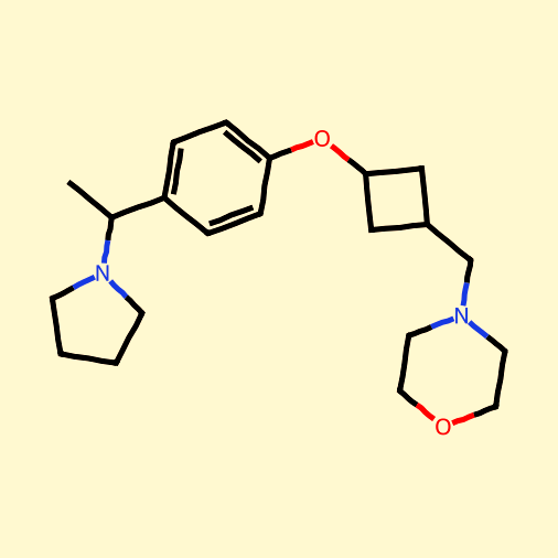 CC(c1ccc(OC2CC(CN3CCOCC3)C2)cc1)N1CCCC1